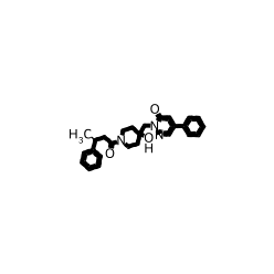 C[C@H](CC(=O)N1CCC(O)(Cn2ncc(-c3ccccc3)cc2=O)CC1)c1ccccc1